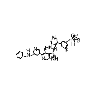 CS(=O)(=O)NCc1cc(F)cc(-c2cncc3[nH]c(-c4n[nH]c5cnc(-c6cncc(CNCc7ccccc7)c6)c(F)c45)nc23)c1